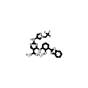 COc1c(Nc2nc(Nc3cnn(CC(F)(F)F)c3)ncc2C(N)=O)cccc1-c1nc2ccccc2o1